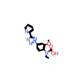 CCN(C(=O)O)c1ccc(-n2nnc(-c3ccccn3)n2)cc1OC